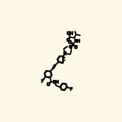 CC(C)C(NS(=O)(=O)N1CCN(c2ccc(C#Cc3ccc(F)c(C(=O)NCc4ccc(F)cc4)c3)cc2)CC1)C(=O)O